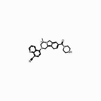 C[C@@H]1CN(c2ccc(C#N)c3ncccc23)CC2=C3CC=C(C(=O)N4CCNCC4)C=C3CN21